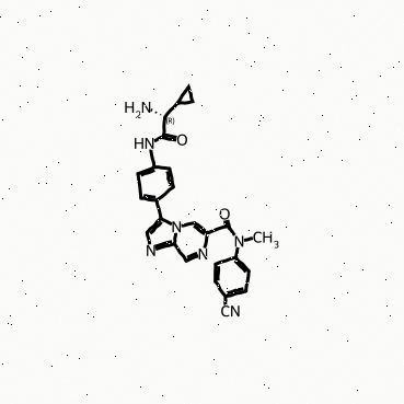 CN(C(=O)c1cn2c(-c3ccc(NC(=O)[C@H](N)C4CC4)cc3)cnc2cn1)c1ccc(C#N)cc1